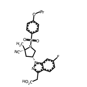 CC(C)Oc1ccc(S(=O)(=O)N2C[C@H](n3nc(CC(=O)O)c4ccc(F)cc43)C[C@]2(C)C#N)cc1